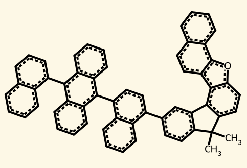 CC1(C)c2ccc(-c3ccc(-c4c5ccccc5c(-c5cccc6ccccc56)c5ccccc45)c4ccccc34)cc2-c2c1ccc1oc3c4ccccc4ccc3c21